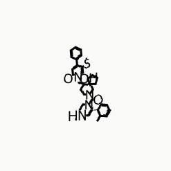 CSc1cn(CC2(O)CCN(C(=O)N3CCNC[C@H]3C3C=CC=CC3C)CC23CCCC3)c(=O)cc1-c1ccccc1